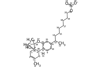 CC1=CC[C@@]2(O)[C@H](C1)c1ccc(C(C)CCCCCCCO[N+](=O)[O-])cc1OC2(C)C